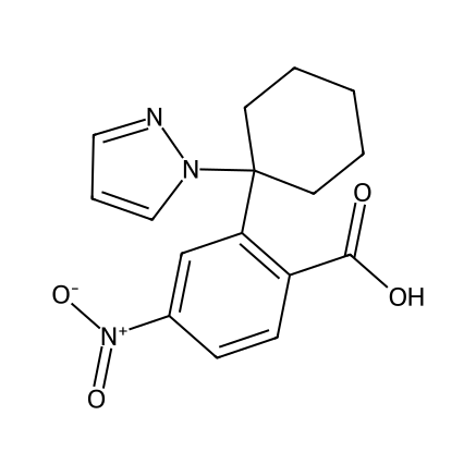 O=C(O)c1ccc([N+](=O)[O-])cc1C1(n2cccn2)CCCCC1